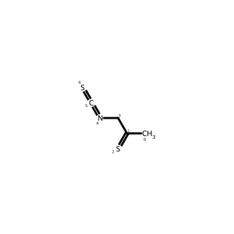 CC(=S)CN=C=S